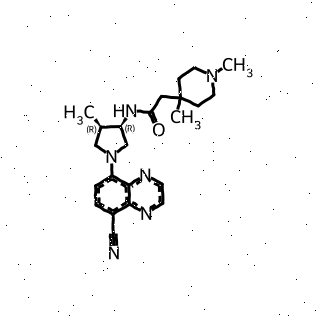 C[C@@H]1CN(c2ccc(C#N)c3nccnc23)C[C@@H]1NC(=O)CC1(C)CCN(C)CC1